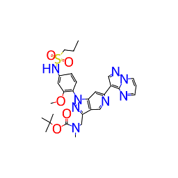 CCCS(=O)(=O)Nc1ccc(-n2nc(CN(C)C(=O)OC(C)(C)C)c3cnc(-c4cnn5cccnc45)cc32)c(OC)c1